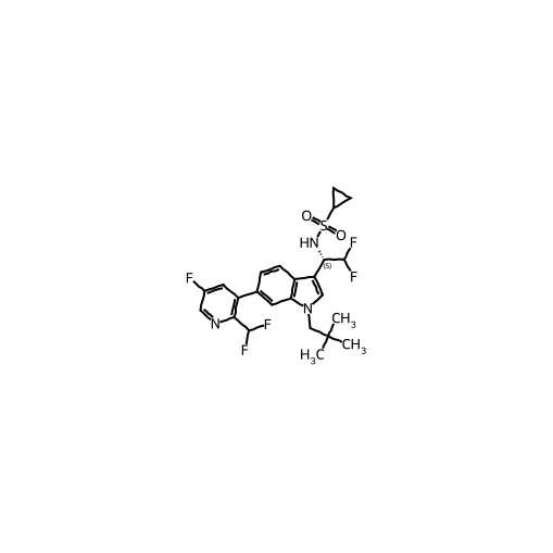 CC(C)(C)Cn1cc([C@H](NS(=O)(=O)C2CC2)C(F)F)c2ccc(-c3cc(F)cnc3C(F)F)cc21